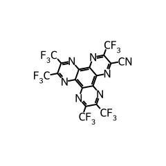 N#Cc1nc2c(nc1C(F)(F)F)c1nc(C(F)(F)F)c(C(F)(F)F)nc1c1nc(C(F)(F)F)c(C(F)(F)F)nc21